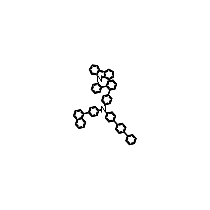 c1ccc(-c2ccc(-c3ccc(N(c4ccc(-c5ccccc5-c5ccccc5-n5c6ccccc6c6ccccc65)cc4)c4ccc(-c5cccc6ccccc56)cc4)cc3)cc2)cc1